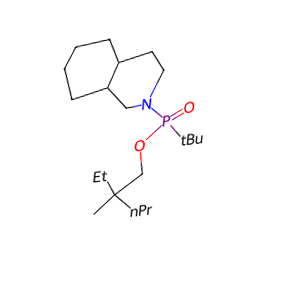 CCCC(C)(CC)COP(=O)(N1CCC2CCCCC2C1)C(C)(C)C